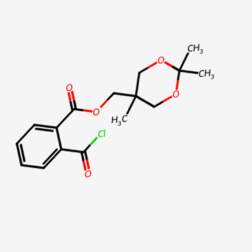 CC1(COC(=O)c2ccccc2C(=O)Cl)COC(C)(C)OC1